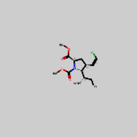 CC(=O)N[C@@H](CC(C)C)[C@H]1[C@H](/C=C\Cl)C[C@H](C(=O)OC(C)(C)C)N1C(=O)OC(C)(C)C